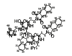 CC(C)C[C@H](N[C@H](CCN1C(=O)c2cc3ccccc3cc2C1=O)C(=O)O)C(=O)NC1CCCc2ccccc21.CC(C)C[C@H](N[C@H](CCN1C(=O)c2cc3ccccc3cc2C1=O)C(=O)O)C(=O)NCc1nnnn1C